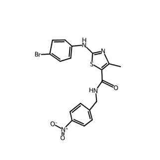 Cc1nc(Nc2ccc(Br)cc2)sc1C(=O)NCc1ccc([N+](=O)[O-])cc1